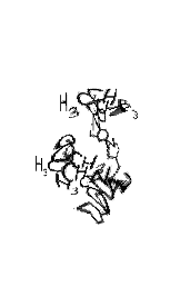 CC(C)(C)OC=O.Cc1nc(CC2CCN(c3ccc4c(c3)CCN4C(=O)OC(C)(C)C)CC2)ncc1OCc1ccccc1